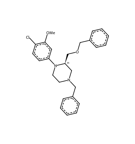 COc1cc(N2CCN(Cc3ccccc3)C[C@@H]2COCc2ccccc2)ccc1Cl